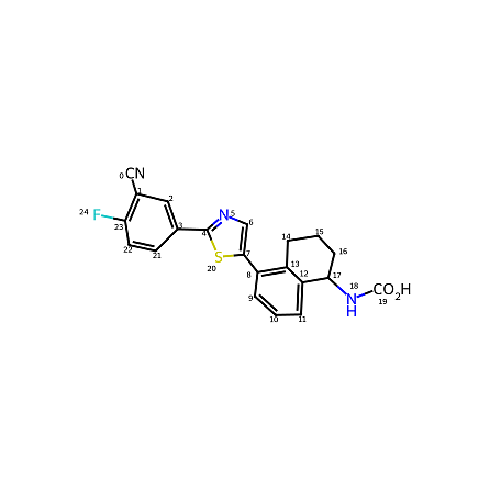 N#Cc1cc(-c2ncc(-c3cccc4c3CCCC4NC(=O)O)s2)ccc1F